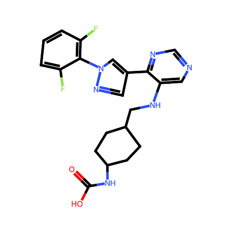 O=C(O)NC1CCC(CNc2cncnc2-c2cnn(-c3c(F)cccc3F)c2)CC1